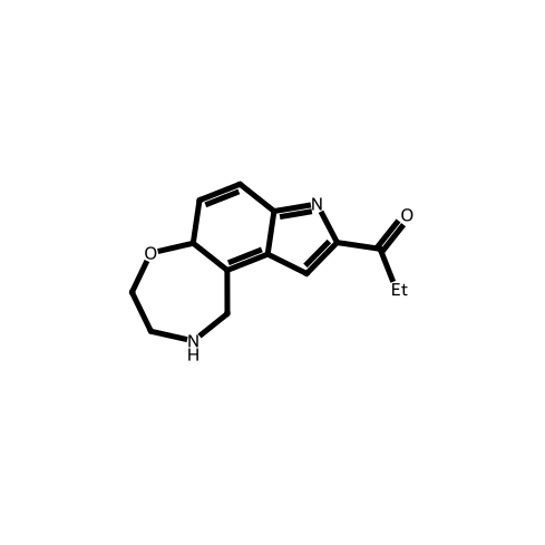 CCC(=O)C1=CC2=C3CNCCOC3C=CC2=N1